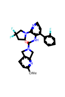 COc1ccc2c(n1)CN(C(=O)Nc1c(-c3ccccc3F)ccnc1N1CCC(F)(F)C1)C2